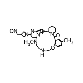 Cc1ccc2c(c1)C(=O)N1CCCCC1c1cc3nc(N4CC(CN=O)C4)cc(n3n1)N(C)CCNCCO2